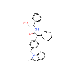 Cc1cc2ccccc2n1Cc1ccc(C(C(=O)NC(CO)c2ccccc2)C2CCCCCC2)cc1